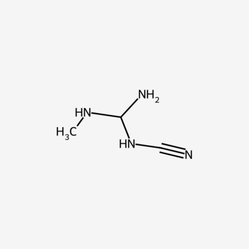 CNC(N)NC#N